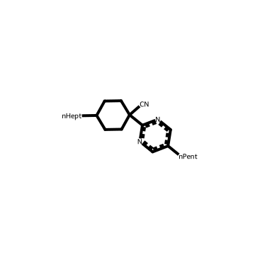 CCCCCCCC1CCC(C#N)(c2ncc(CCCCC)cn2)CC1